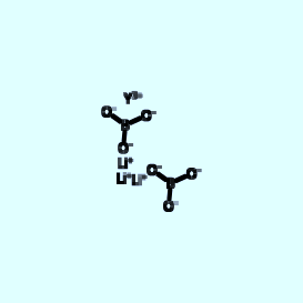 [Li+].[Li+].[Li+].[O-]B([O-])[O-].[O-]B([O-])[O-].[Y+3]